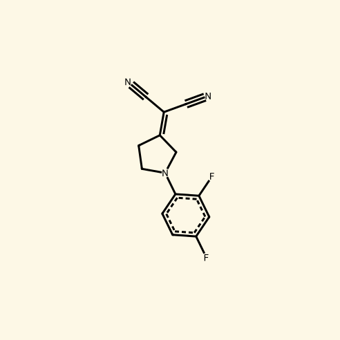 N#CC(C#N)=C1CCN(c2ccc(F)cc2F)C1